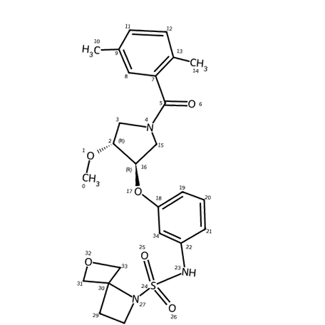 CO[C@@H]1CN(C(=O)c2cc(C)ccc2C)C[C@H]1Oc1cccc(NS(=O)(=O)N2CCC23COC3)c1